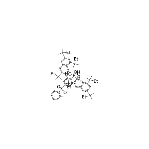 CCC(C)(C)c1cc(C(C)(C)CC)c2cc(-c3cc(S(=O)(=O)c4ccccc4C)ccc3P(O)(O)(O)c3cc4c(C(C)(C)CC)cc(C(C)(C)CC)cc4cc3C(C)(C)CC)c(C(C)(C)CC)cc2c1